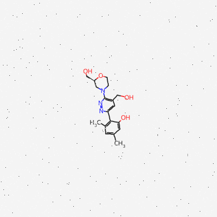 Cc1cc(C)c(-c2cc(CO)c(N3CCO[C@H](CO)C3)nn2)c(O)c1